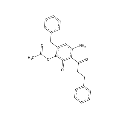 CC(=O)On1c(Cc2ccccc2)cc(N)c(C(=O)CCc2ccccc2)c1=O